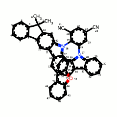 CC1(C)c2ccccc2-c2cc3c4cc5c(cc4n(-c4c(C#N)cc(C#N)cc4-n4c6ccccc6c6ccccc64)c3cc21)oc1ccccc15